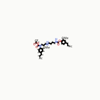 COc1cc(CCC(C)=O)ccc1OC(=O)NCCCCNCCCN(C(=O)OC(=O)C(F)(F)F)c1ccc(CCC(C)=O)cc1OC